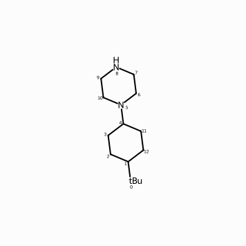 CC(C)(C)C1CCC(N2CCNCC2)CC1